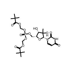 CC(C)(C)C(=O)OCOP(=O)(OCOC(=O)C(C)(C)C)OC[C@H]1O[C@@H](n2ccc(=O)[nH]c2=O)C(C)(O)[C@H]1O